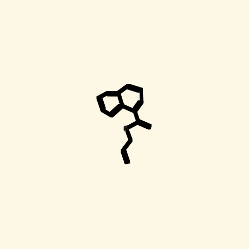 C=CCOC(=C)c1cccc2ccccc12